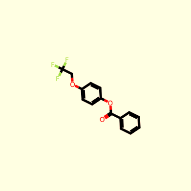 O=C(Oc1ccc(OCC(F)(F)F)cc1)c1ccccc1